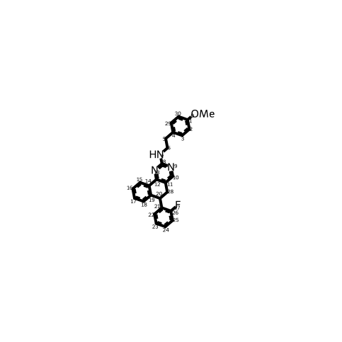 COc1ccc(CCNc2ncc3c(n2)-c2ccccc2C(c2ccccc2F)C3)cc1